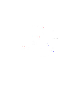 COCC1(n2ncc(C)c2B(O)O)CC1